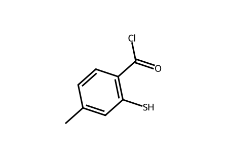 Cc1ccc(C(=O)Cl)c(S)c1